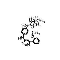 COc1ccccc1-c1cc(Nc2ccc(NC(=O)NC(C)(C)C)cc2)ncn1